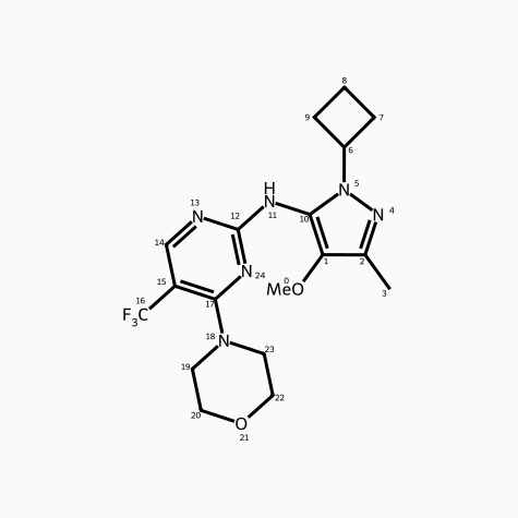 COc1c(C)nn(C2CCC2)c1Nc1ncc(C(F)(F)F)c(N2CCOCC2)n1